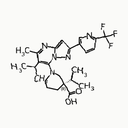 Cc1nc2cc(-c3ccc(C(F)(F)F)nc3)nn2c(N2CCC[C@@](C(=O)O)(C(C)C)C2)c1C(C)C